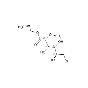 C=CCOC(=O)[C@H](OC)[C@@H](O)[C@H](O)[C@H](O)CO